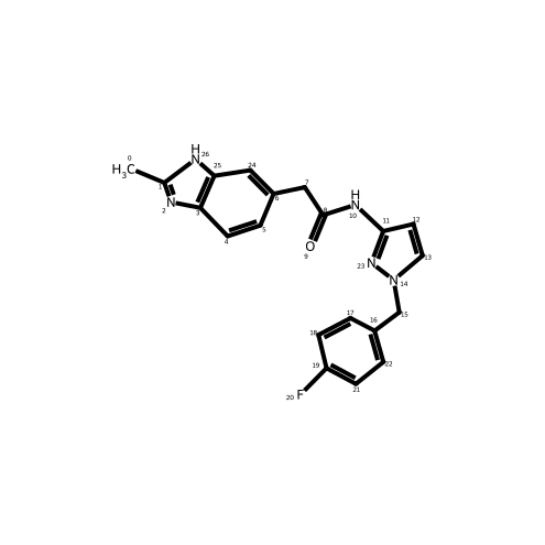 Cc1nc2ccc(CC(=O)Nc3ccn(Cc4ccc(F)cc4)n3)cc2[nH]1